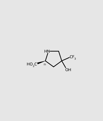 O=C(O)[C@@H]1CC(O)(C(F)(F)F)CN1